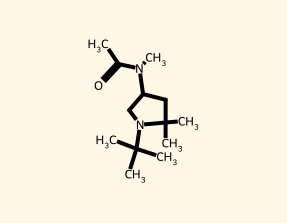 CC(=O)N(C)C1CN(C(C)(C)C)C(C)(C)C1